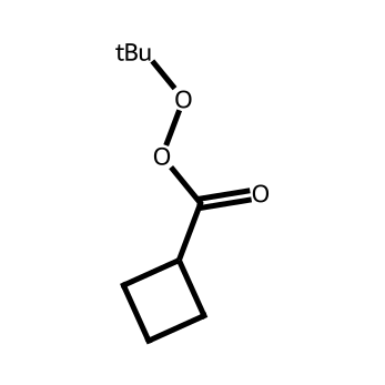 CC(C)(C)OOC(=O)C1CCC1